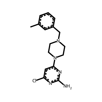 Cc1cccc(CN2CCN(c3cc(Cl)nc(N)n3)CC2)c1